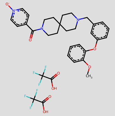 COc1ccccc1Oc1cccc(CN2CCC3(CC2)CCN(C(=O)c2cc[n+]([O-])cc2)CC3)c1.O=C(O)C(F)(F)F.O=C(O)C(F)(F)F